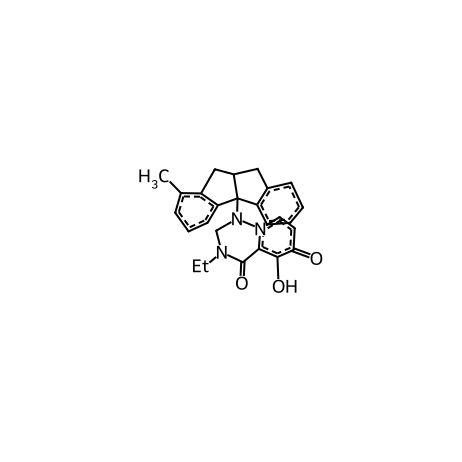 CCN1CN(C23c4ccccc4CC2Cc2c(C)cccc23)n2ccc(=O)c(O)c2C1=O